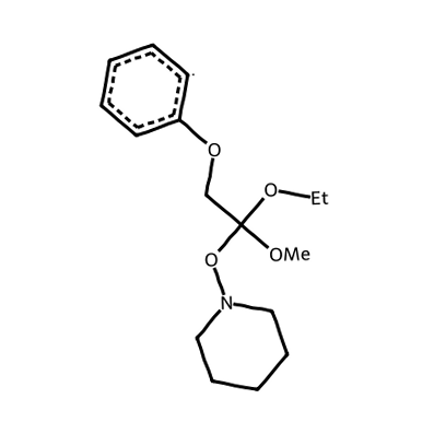 CCOC(COc1[c]cccc1)(OC)ON1CCCCC1